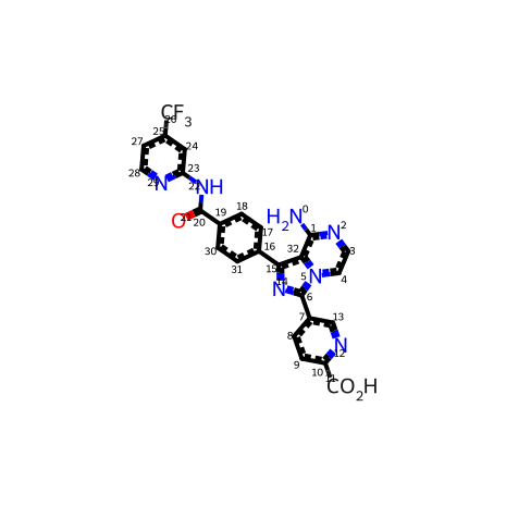 Nc1nccn2c(-c3ccc(C(=O)O)nc3)nc(-c3ccc(C(=O)Nc4cc(C(F)(F)F)ccn4)cc3)c12